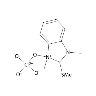 CSC1N(C)c2ccccc2[N+]1(C)O[Cl+3]([O-])([O-])[O-]